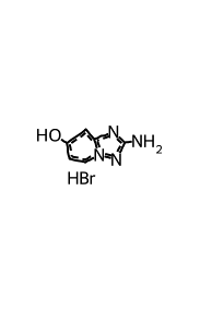 Br.Nc1nc2cc(O)ccn2n1